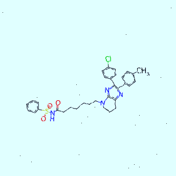 Cc1ccc(-c2nc3c(nc2-c2ccc(Cl)cc2)N(CCCCCCC(=O)NS(=O)(=O)c2ccccc2)CCC3)cc1